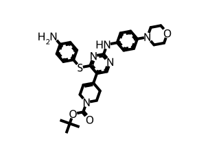 CC(C)(C)OC(=O)N1CC=C(c2cnc(Nc3ccc(N4CCOCC4)cc3)nc2Sc2ccc(N)cc2)CC1